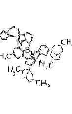 Cc1cc2c3c(c1)-n1c4c(cccc4c4ccc5ccccc5c41)B3n1c3ccc(C45CC(C)CC(CC(C)C4)C5)cc3c3cc(C45CC(C)CC(CC(C)C4)C5)cc-2c31